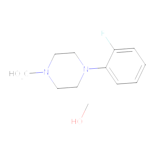 O=C(O)N1CCN(c2ccccc2F)[C@H](CO)C1